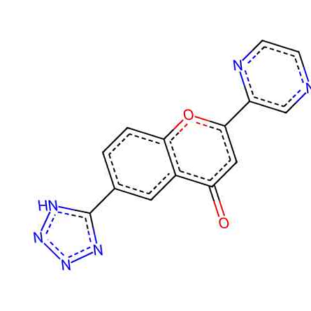 O=c1cc(-c2cnccn2)oc2ccc(-c3nnn[nH]3)cc12